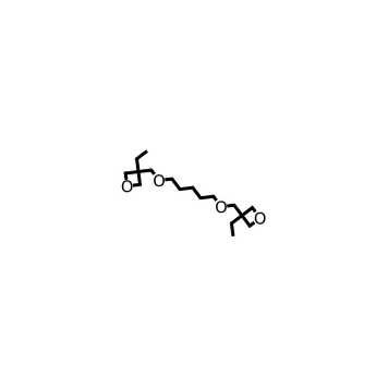 CCC1(COCCCCCOCC2(CC)COC2)COC1